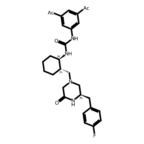 CC(=O)c1cc(NC(=O)N[C@@H]2CCCC[C@H]2CN2CC(=O)N[C@H](Cc3ccc(F)cc3)C2)cc(C(C)=O)c1